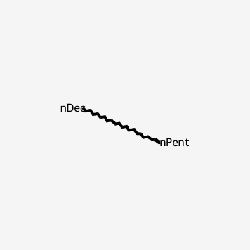 CCCCCC=CCCCCCCCCCCCCCCCCCCCCCCCCCCCCC